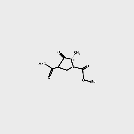 COC(=O)C1CN(C(=O)OC(C)(C)C)[C@@H](C)C1=O